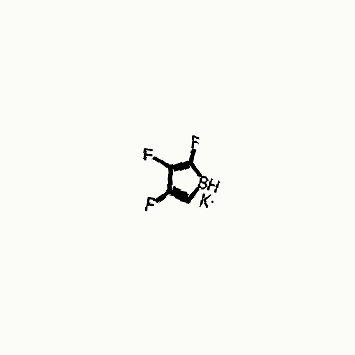 FC1=CBC(F)=C1F.[K]